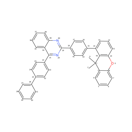 CC1(C)c2ccccc2Oc2cccc(-c3ccc(-c4nc(-c5ccc(-c6ccccc6)cc5)c5ccccc5n4)cc3)c21